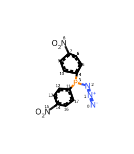 [N-]=[N+]=NP(c1ccc([N+](=O)[O-])cc1)c1ccc([N+](=O)[O-])cc1